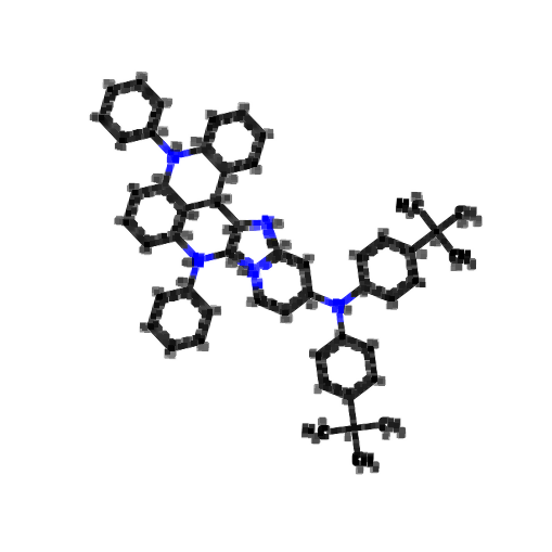 CC(C)(C)c1ccc(N(c2ccc(C(C)(C)C)cc2)c2ccn3c4c(nc3c2)B2c3ccccc3N(c3ccccc3)c3cccc(c32)N4c2ccccc2)cc1